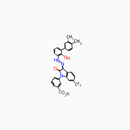 Cc1ccc(-c2cccc(NN=C3C(=O)N(c4cccc(C(=O)O)c4)c4cc(C(F)(F)F)ccc43)c2O)cc1C